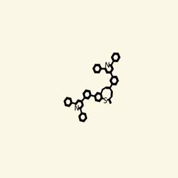 C=C1/C=C\C(c2cccc(-c3cc(-c4ccccc4)nc(-c4ccccc4)c3)c2)=C/Cc2cc(-c3cccc(-c4cc(-c5ccccc5)nc(-c5ccccc5)c4)c3)ccc2S1